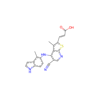 Cc1c(Nc2c(C#N)cnc3sc(/C=C/C(=O)O)c(C)c23)ccc2[nH]ccc12